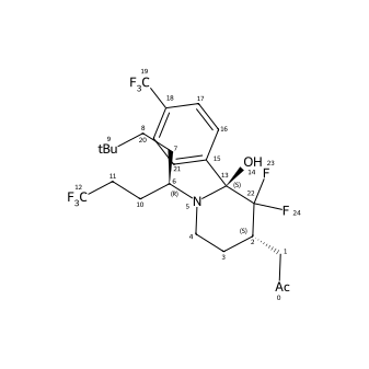 CC(=O)C[C@@H]1CCN([C@H](CCC(C)(C)C)CCC(F)(F)F)[C@](O)(c2ccc(C(F)(F)F)cc2)C1(F)F